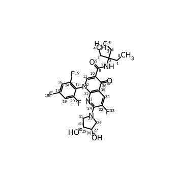 CCC(CC)(CC)NC(=O)c1cn(-c2c(F)cc(F)cc2F)c2nc(N3C[C@@H](O)[C@H](O)C3)c(F)cc2c1=O